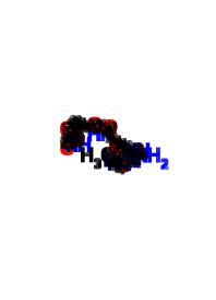 CN1CCN([C@@H]2CCCN(c3cnc(C(N)=O)c(Nc4ccc(OCCCNC(=O)[C@H]5C[C@@H](OCCCc6cccc7c6CN(C6CCC(=O)NC6=O)C7=O)C5)cc4)n3)C2)C1=O